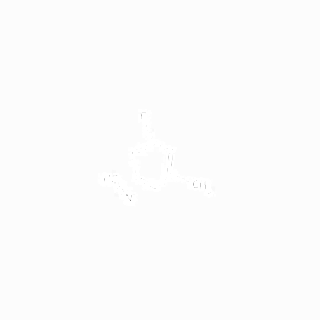 C#N.Cc1cccc(F)c1